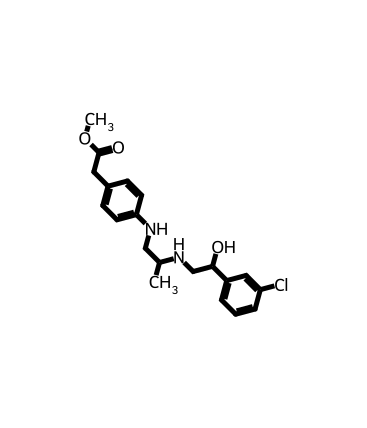 COC(=O)Cc1ccc(NCC(C)NCC(O)c2cccc(Cl)c2)cc1